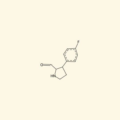 O=[C]C1NCCC1c1ccc(F)cc1